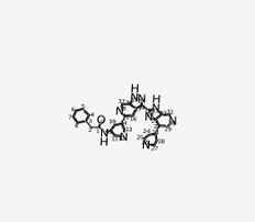 O=C(Cc1ccccc1)Nc1cncc(-c2cc3c(-c4nc5c(-c6ccncc6)cncc5[nH]4)n[nH]c3cn2)c1